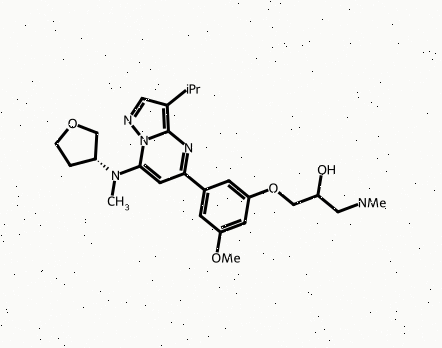 CNCC(O)COc1cc(OC)cc(-c2cc(N(C)[C@@H]3CCOC3)n3ncc(C(C)C)c3n2)c1